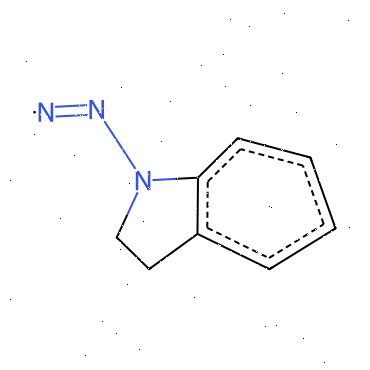 [N]=NN1CCc2ccccc21